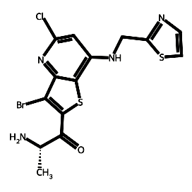 C[C@H](N)C(=O)c1sc2c(NCc3nccs3)cc(Cl)nc2c1Br